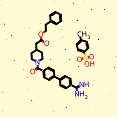 Cc1ccc(S(=O)(=O)O)cc1.N=C(N)c1ccc(-c2ccc(C(=O)N3CCC(CC(=O)OCCc4ccccc4)CC3)cc2)cc1